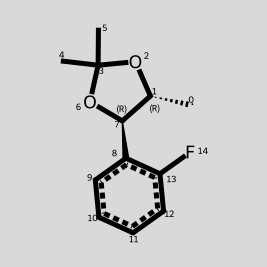 [CH2][C@H]1OC(C)(C)O[C@@H]1c1ccccc1F